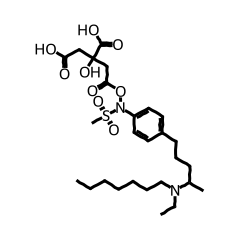 CCCCCCCN(CC)C(C)CCCc1ccc(N(OC(=O)CC(O)(CC(=O)O)C(=O)O)S(C)(=O)=O)cc1